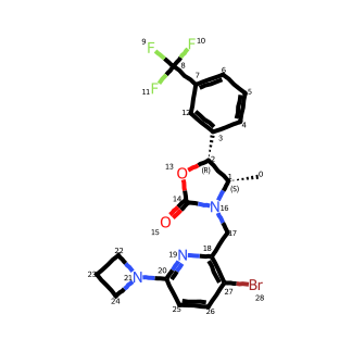 C[C@H]1[C@@H](c2cccc(C(F)(F)F)c2)OC(=O)N1Cc1nc(N2CCC2)ccc1Br